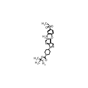 CCS(=O)(=O)c1ccc(Oc2ncnc3c2cnn3C2CCN(C(=O)OC(C)(C)C)CC2)c(N)c1